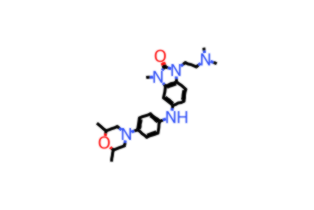 CC1CN(c2ccc(Nc3ccc4c(c3)n(C)c(=O)n4CCN(C)C)cc2)CC(C)O1